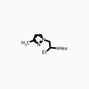 CCCCCCC(CC)Cn1ccc(C)n1